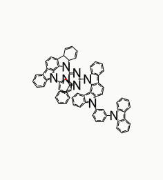 C1=CC2c3ccc4c5ccccc5n(-c5ccccc5)c4c3N(c3nc(-c4ccccc4)nc(-n4c5ccccc5c5ccc6c(c7ccccc7n6-c6cccc(-n7c8ccccc8c8ccccc87)c6)c54)n3)C2C=C1